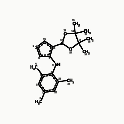 Cc1cc(C)c(Nc2cscc2B2OC(C)(C)C(C)(C)O2)c(C)c1